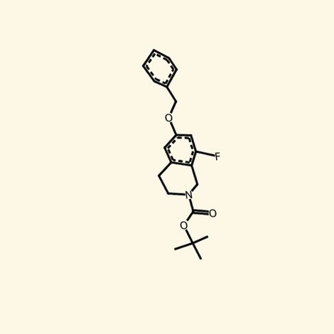 CC(C)(C)OC(=O)N1CCc2cc(OCc3ccccc3)cc(F)c2C1